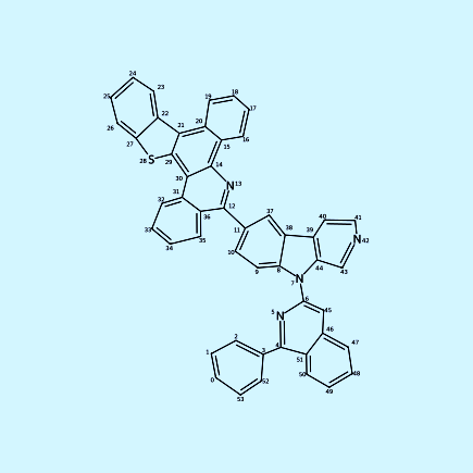 c1ccc(-c2nc(-n3c4ccc(-c5nc6c7ccccc7c7c8ccccc8sc7c6c6ccccc56)cc4c4ccncc43)cc3ccccc23)cc1